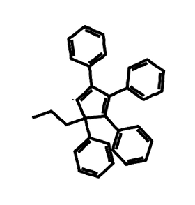 CCCC1(c2ccccc2)[C]=C(c2ccccc2)C(c2ccccc2)=C1c1ccccc1